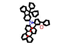 c1ccc(-c2ccc(-c3c(N(c4ccc(-c5ccccc5)cc4)c4ccc5c(c4)C(c4ccccc4)(c4ccccc4)c4ccccc4-5)ccc4c3oc3ccccc34)cc2)cc1